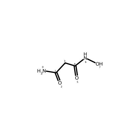 NC(=O)[CH]C(=O)NO